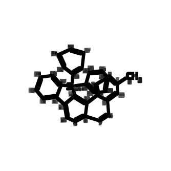 Cc1ccc2c(ccc3ccc4c(c32)[Si](c2ccccc2)(c2ccccc2)c2ccccc2-4)c1